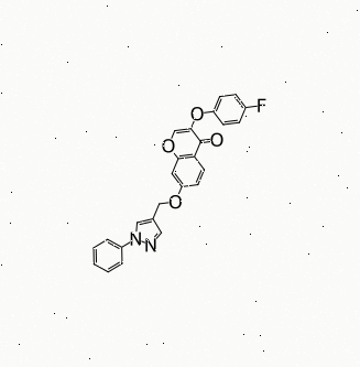 O=c1c(Oc2ccc(F)cc2)coc2cc(OCc3cnn(-c4ccccc4)c3)ccc12